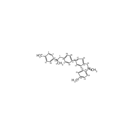 Cc1ccc(N(C)Cc2ccc(-c3ccc(CN(C)c4ccc(C)cc4)cc3)cc2)cc1